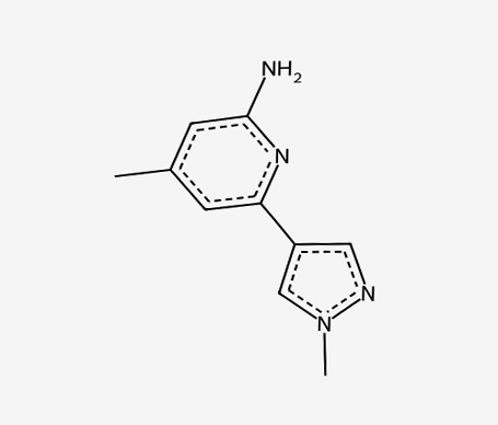 Cc1cc(N)nc(-c2cnn(C)c2)c1